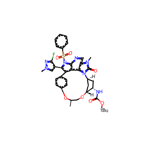 CC1CO[C@@H]2C[C@H](C[C@@H]2NC(=O)OC(C)(C)C)n2c(=O)n(C)c3cnc4c(c(c(-c5cn(C)nc5F)n4S(=O)(=O)c4ccccc4)-c4ccc(cc4)O1)c32